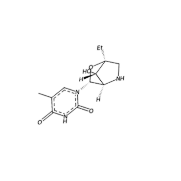 CC[C@@]12CN[C@@H]([C@H](n3cc(C)c(=O)[nH]c3=O)O1)[C@@H]2O